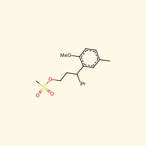 COc1ccc(C)cc1C(CCOS(C)(=O)=O)C(C)C